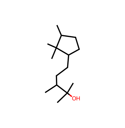 CC(CCC1CCC(C)C1(C)C)C(C)(C)O